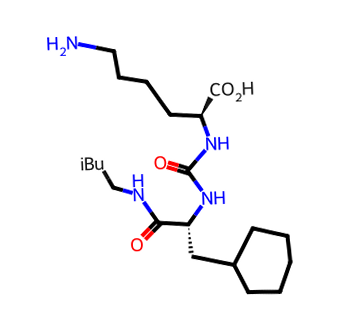 CCC(C)CNC(=O)[C@@H](CC1CCCCC1)NC(=O)N[C@@H](CCCCN)C(=O)O